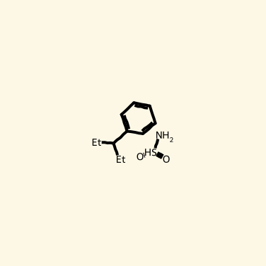 CCC(CC)c1ccccc1.N[SH](=O)=O